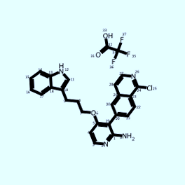 Nc1nccc(OCCCc2c[nH]c3ccccc23)c1-c1ccc2c(Cl)nccc2c1.O=C(O)C(F)(F)F